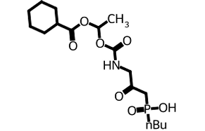 CCCCP(=O)(O)CC(=O)CNC(=O)OC(C)OC(=O)C1CCCCC1